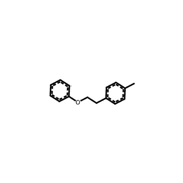 Cc1ccc(CCOc2[c]cccc2)cc1